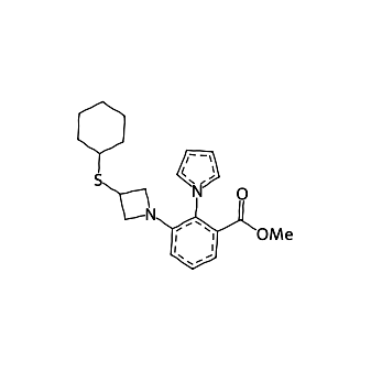 COC(=O)c1cccc(N2CC(SC3CCCCC3)C2)c1-n1cccc1